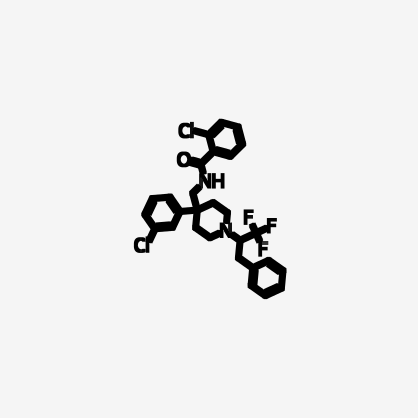 O=C(NCC1(c2cccc(Cl)c2)CCN(C(Cc2ccccc2)C(F)(F)F)CC1)c1ccccc1Cl